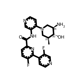 C[C@H]1CN(c2ccncc2NC(=O)c2ccc(F)c(-c3ccncc3F)n2)C[C@@H](N)[C@@H]1O